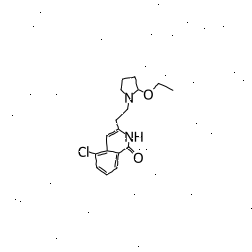 CCOC1CCCN1CCc1cc2c(Cl)cccc2c(=O)[nH]1